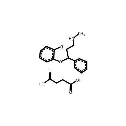 CNCCC(Oc1ccccc1Cl)c1ccccc1.O=C(O)CCC(=O)O